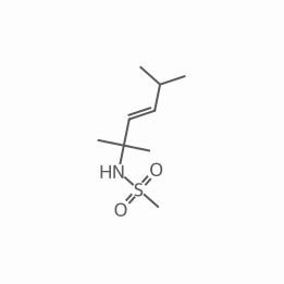 CC(C)/C=C/C(C)(C)NS(C)(=O)=O